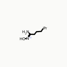 CC(C)CCC/C(N)=N/O